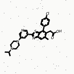 Cc1cc2nc(-c3cncc(N4CCN(C(C)C)CC4)c3)sc2c(-c2ccc(Cl)cc2)c1CC(=O)O